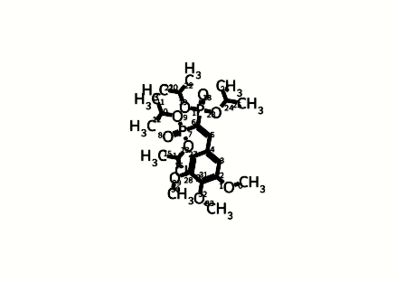 COc1cc(C=C(P(=O)(OC(C)C)OC(C)C)P(=O)(OC(C)C)OC(C)C)cc(OC)c1OC